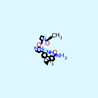 CC#CC(=O)N1CCCC1COc1nccc(C2(F)CC=C(C)C(c3c(C4CC4)ccc(C(N)=O)c3F)=C2N)n1